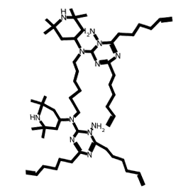 C=CCCCCC1=NC(N(CCCCCCN(C2CC(C)(C)NC(C)(C)C2)C2N=C(CCCCC=C)N=C(CCCCC=C)N2N)C2CC(C)(C)NC(C)(C)C2)N(N)C(CCCCC=C)=N1